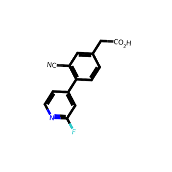 N#Cc1cc(CC(=O)O)ccc1-c1ccnc(F)c1